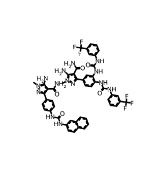 Cn1nc(-c2ccc(NC(=O)Nc3ccc4ccccc4c3)cc2)c(C(N)=O)c1N.Cn1nc(-c2ccc(NC(=O)Nc3cccc(C(F)(F)F)c3)c(NC(=O)Nc3cccc(C(F)(F)F)c3)c2)c(C(N)=O)c1N